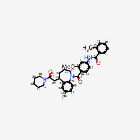 COc1cc(NC(=O)c2ccccc2C)ccc1C(=O)N1CCCC(CC(=O)N2CCCCC2)c2cc(F)ccc21